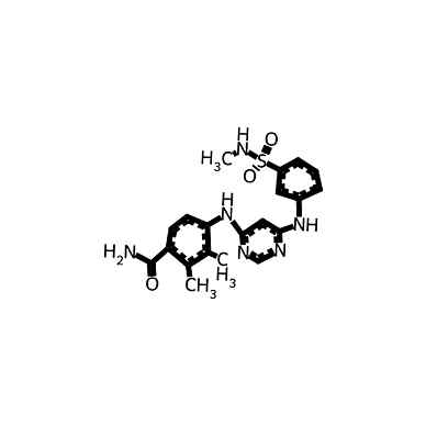 CNS(=O)(=O)c1cccc(Nc2cc(Nc3ccc(C(N)=O)c(C)c3C)ncn2)c1